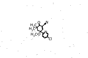 COC1(c2ccc(Cl)cn2)C=C(C#N)C(=O)C(C)(C)C1